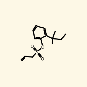 C=CCS(=O)(=O)Oc1ccccc1C(C)(C)CC